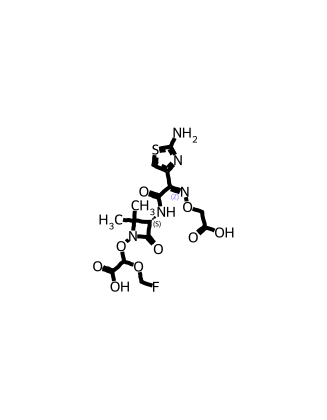 CC1(C)[C@H](NC(=O)/C(=N\OCC(=O)O)c2csc(N)n2)C(=O)N1OC(OCF)C(=O)O